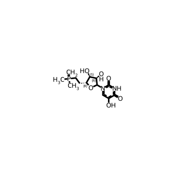 C=P(C)(C)CC[C@H]1OC(n2cc(O)c(=O)[nH]c2=O)[C@H](O)[C@@H]1O